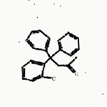 CC(=O)CC(c1ccccc1)(c1ccccc1)c1ccccc1Cl